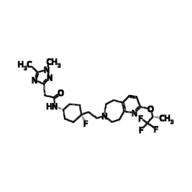 Cc1nc(CC(=O)N[C@H]2CC[C@](F)(CCN3CCc4ccc(O[C@H](C)C(F)(F)F)nc4CC3)CC2)nn1C